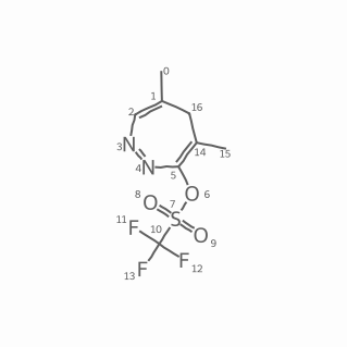 CC1=CN=NC(OS(=O)(=O)C(F)(F)F)=C(C)C1